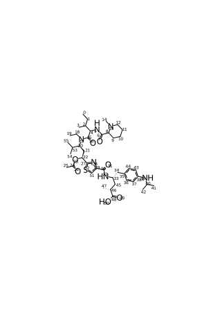 CCC(C)C(NC(=O)C1CCCCN1C)C(=O)N(CC)[C@@H](C[C@H](OC(C)=O)c1nc(C(=O)N[C@H](Cc2ccc(NC(C)C)cc2)C[C@@H](C)C(=O)O)cs1)C(C)C